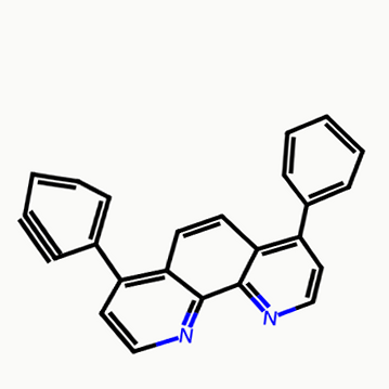 c1cccc(-c2ccnc3c2ccc2c(-c4ccccc4)ccnc23)c#1